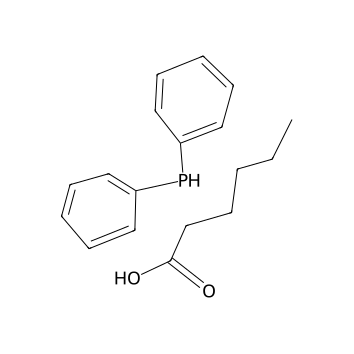 CCCCCC(=O)O.c1ccc(Pc2ccccc2)cc1